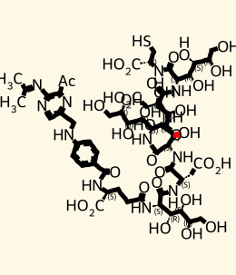 CC(=O)c1nc(CNc2ccc(C(=O)N[C@@H](CCC(=O)N[C@H](C(=O)N[C@@H](CC(=O)O)C(=O)N[C@H](C(=O)N[C@H](C(=O)N[C@@H](CC(=O)O)C(=O)N[C@H](C(=O)N[C@@H](CS)C(=O)O)[C@@H](O)[C@H](O)[C@H](O)CO)[C@@H](O)[C@H](O)[C@H](O)CO)[C@@H](O)[C@H](O)[C@H](O)CO)[C@@H](O)[C@H](O)[C@H](O)CO)C(=O)O)cc2)cnc1N=C(C)C